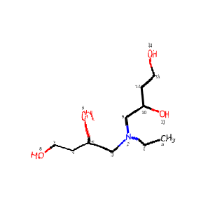 CCN(CC(O)CCO)CC(O)CCO